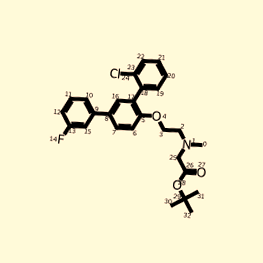 CN(CCOc1ccc(-c2cccc(F)c2)cc1-c1ccccc1Cl)CC(=O)OC(C)(C)C